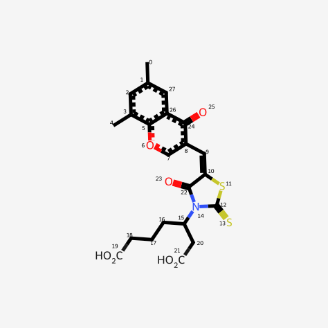 Cc1cc(C)c2occ(C=C3SC(=S)N(C(CCCC(=O)O)CC(=O)O)C3=O)c(=O)c2c1